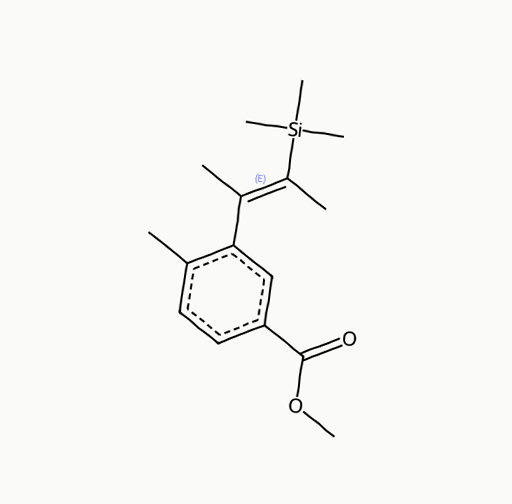 COC(=O)c1ccc(C)c(/C(C)=C(\C)[Si](C)(C)C)c1